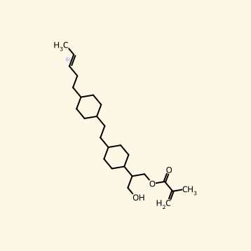 C=C(C)C(=O)OCC(CO)C1CCC(CCC2CCC(CC/C=C/C)CC2)CC1